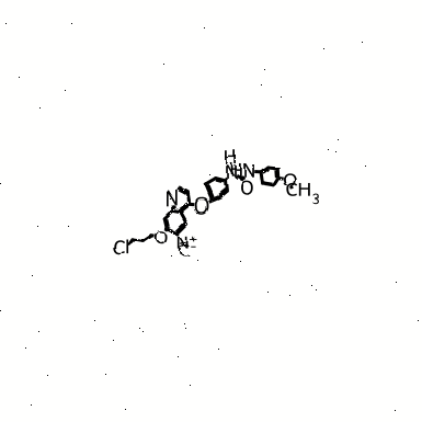 [C-]#[N+]c1cc2c(Oc3ccc(NC(=O)Nc4ccc(OC)cc4)cc3)ccnc2cc1OCCCCl